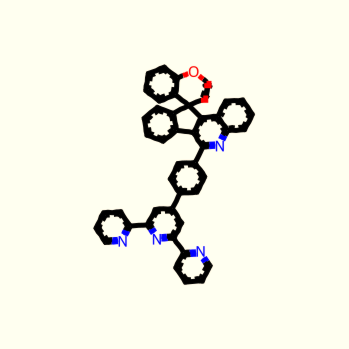 c1ccc(-c2cc(-c3ccc(-c4nc5ccccc5c5c4-c4ccccc4C54c5ccccc5Oc5ccccc54)cc3)cc(-c3ccccn3)n2)nc1